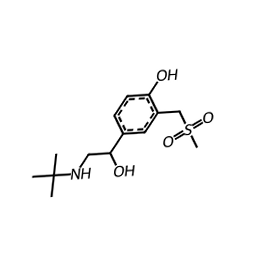 CC(C)(C)NCC(O)c1ccc(O)c(CS(C)(=O)=O)c1